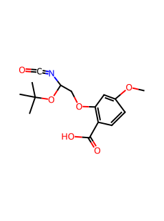 COc1ccc(C(=O)O)c(OCC(N=C=O)OC(C)(C)C)c1